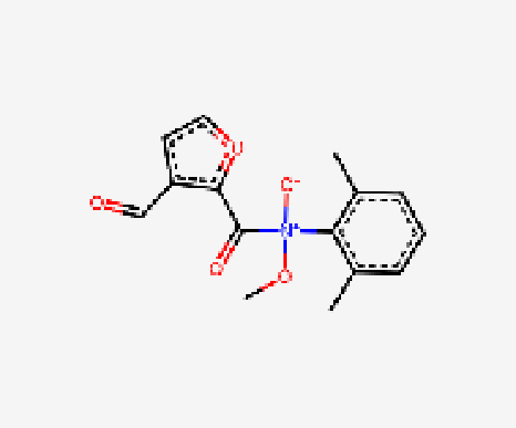 CO[N+]([O-])(C(=O)c1occc1C=O)c1c(C)cccc1C